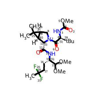 COC(=O)N[C@H](C(=O)N1C[C@H]2[C@@H]([C@H]1C(=O)N[C@@H](CCC(C)(F)F)C(OC)OC)C2(C)C)C(C)(C)C